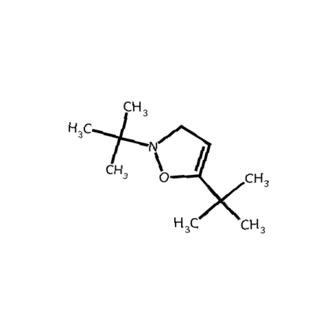 CC(C)(C)C1=CCN(C(C)(C)C)O1